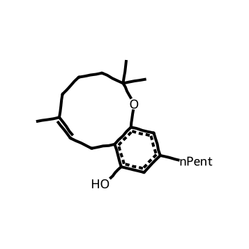 CCCCCc1cc(O)c2c(c1)OC(C)(C)CCC/C(C)=C\C2